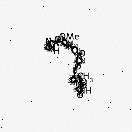 COc1cc2nn(C3CCC(C(=O)N4CCC(OCC#Cc5cccc6c5n(C)c(=O)n6C5CCC(=O)NC5=O)CC4)CC3)cc2cc1C(=O)Nc1cnc2cccnn12